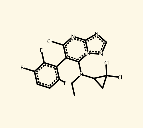 CCN(c1c(-c2c(F)ccc(F)c2F)c(Cl)nc2ncnn12)C1CC1(Cl)Cl